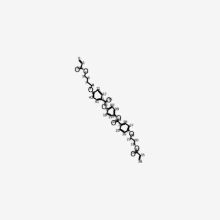 C=CC(=O)OCCCCOc1ccc(C(=O)Oc2ccc(OC(=O)c3ccc(OCCCOC(=O)C=C)cc3)cc2)cc1